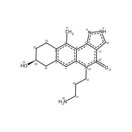 Cc1c2c(cc3c1c1n[nH]cc1c(=O)n3CCCN)C[C@@H](O)CC2